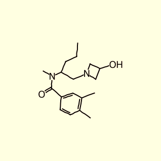 CCCC(CN1CC(O)C1)N(C)C(=O)c1ccc(C)c(C)c1